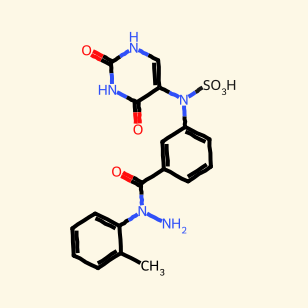 Cc1ccccc1N(N)C(=O)c1cccc(N(c2c[nH]c(=O)[nH]c2=O)S(=O)(=O)O)c1